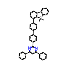 C[Si]1(C)c2ccccc2-c2cccc(-c3ccc(-c4ccc(-c5nc(-c6ccccc6)cc(-c6ccccc6)n5)cc4)cc3)c21